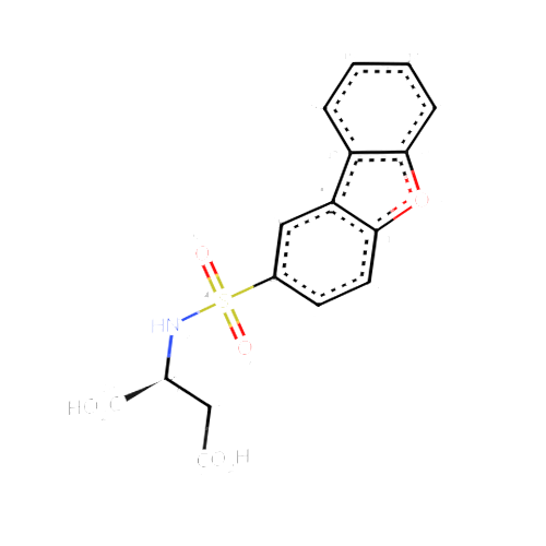 O=C(O)C[C@H](NS(=O)(=O)c1ccc2oc3ccccc3c2c1)C(=O)O